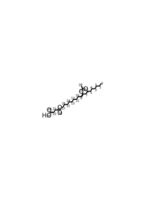 CCCCCCC(CC=CCCCCCCCCOC(=O)CCC(=O)O)OC(C)=O